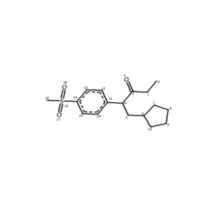 CCC(=O)C(CC1CCCC1)c1ccc(S(C)(=O)=O)cc1